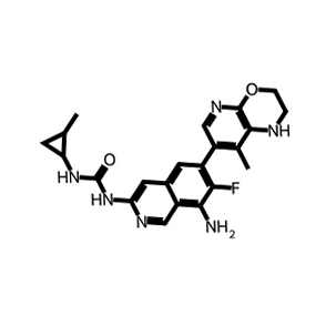 Cc1c(-c2cc3cc(NC(=O)NC4CC4C)ncc3c(N)c2F)cnc2c1NCCO2